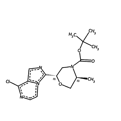 C[C@H]1CO[C@H](c2ncc3c(Cl)nccn23)CN1C(=O)OC(C)(C)C